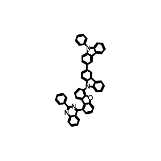 c1ccc(-c2nc(-c3cccc4oc5c(-n6c7ccccc7c7cc(-c8ccc9c(c8)c8ccccc8n9-c8ccccc8)ccc76)cccc5c34)c3ccccc3n2)cc1